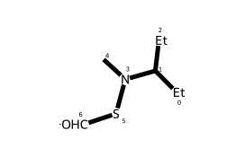 CCC(CC)N(C)S[C]=O